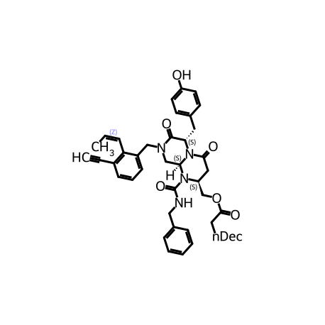 C#Cc1cccc(CN2C[C@@H]3N(C(=O)NCc4ccccc4)[C@H](COC(=O)CCCCCCCCCCC)CC(=O)N3[C@@H](Cc3ccc(O)cc3)C2=O)c1/C=C\C